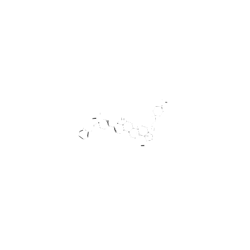 C=C(C)[C@@H]1CC[C@]2(NCC[C@]3(O)CC[C@H]([SH](=O)=O)CC3)CC[C@]3(C)[C@H](CC[C@@H]4[C@@]5(C)CC=C(C6=CCC(COc7ccccn7)(C(=O)O)CC6)C(C)(C)[C@@H]5CC[C@]43C)[C@@H]12